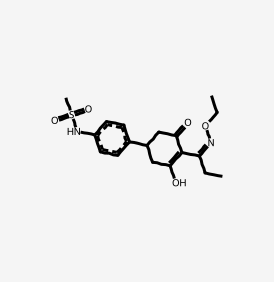 CCO/N=C(/CC)C1=C(O)CC(c2ccc(NS(C)(=O)=O)cc2)CC1=O